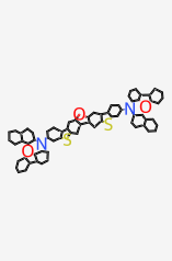 c1ccc2cc(N(c3ccc4c(c3)sc3cc5c(cc34)oc3cc4c(cc35)sc3cc(N(c5ccc6ccccc6c5)c5cccc6c5oc5ccccc56)ccc34)c3cccc4c3oc3ccccc34)ccc2c1